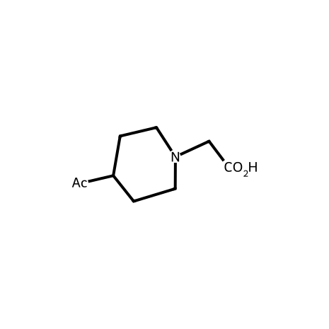 CC(=O)C1CCN(CC(=O)O)CC1